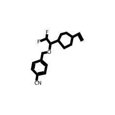 C=CC1CCC(C(OCc2ccc(C#N)cc2)C(F)F)CC1